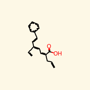 C=CCC(=CC=C(C=C)C=Cc1ccccc1)C(=O)O